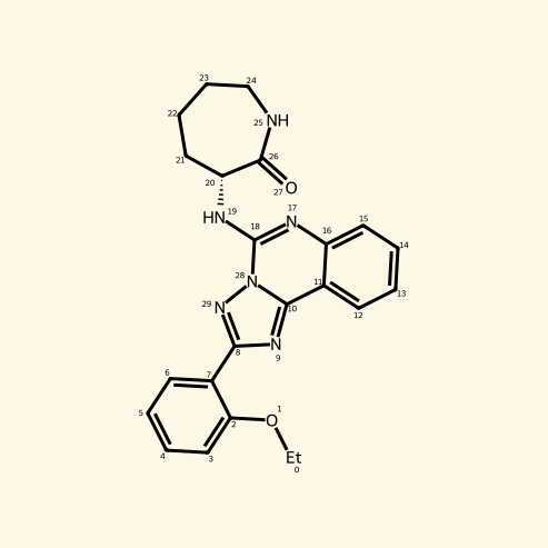 CCOc1ccccc1-c1nc2c3ccccc3nc(N[C@@H]3CCCCNC3=O)n2n1